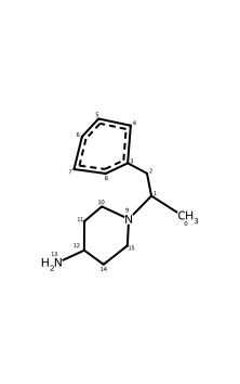 CC(Cc1ccccc1)N1CCC(N)CC1